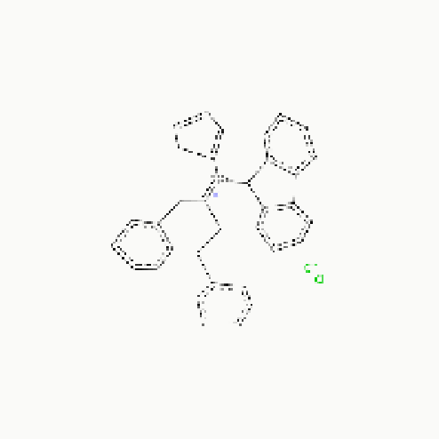 C1=CC[C](/[Zr+2](=[C](/CCc2ccccc2)Cc2ccccc2)[CH]2c3ccccc3-c3ccccc32)=C1.[Cl-].[Cl-]